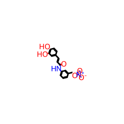 O=C(C=Cc1ccc(O)c(O)c1)Nc1cccc(CO[N+](=O)[O-])c1